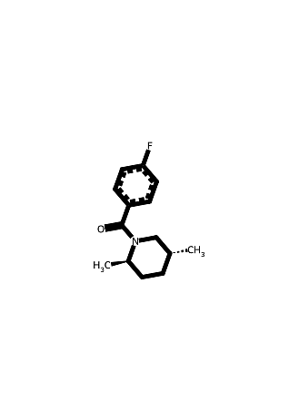 C[C@@H]1CC[C@@H](C)N(C(=O)c2ccc(F)cc2)C1